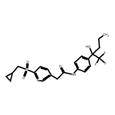 CCCC(O)(c1ccc(NC(=O)Cc2ccc(S(=O)(=O)CC3CC3)nc2)cc1)C(F)(F)F